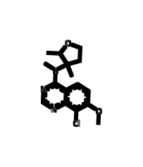 COc1ccc2c(N(C)C3(C)CCOC3C)ncnc2c1Cl